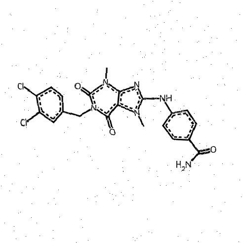 Cn1c(Nc2ccc(C(N)=O)cc2)nc2c1c(=O)n(Cc1ccc(Cl)c(Cl)c1)c(=O)n2C